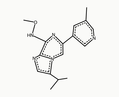 CONc1nc(-c2cncc(C)c2)cn2c(C(C)C)cnc12